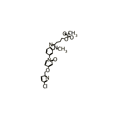 Cn1c(CCCOS(C)(=O)=O)nc2ccc(-n3ccc(OCc4ccc(Cl)cn4)cc3=O)cc21